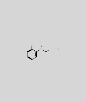 NN(CC(=O)O)c1ccccc1C(F)(F)F